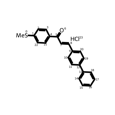 CSc1ccc(C(=O)/C=C/c2ccc(-c3ccccc3)cc2)cc1.Cl